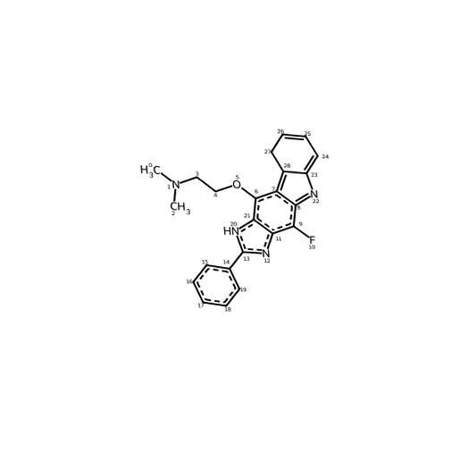 CN(C)CCOc1c2c(c(F)c3nc(-c4ccccc4)[nH]c13)=NC1=CC=CCC=21